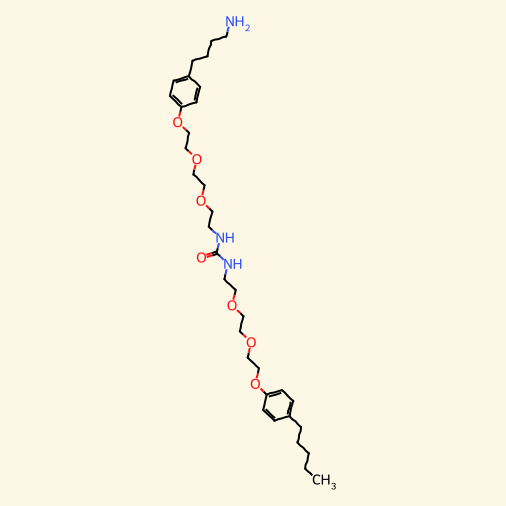 CCCCCc1ccc(OCCOCCOCCNC(=O)NCCOCCOCCOc2ccc(CCCCN)cc2)cc1